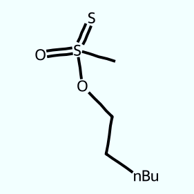 CCCCCCOS(C)(=O)=S